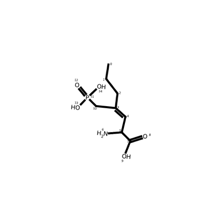 CCC/C(=C/C(N)C(=O)O)CP(=O)(O)O